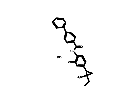 CCC1(N)CC1c1ccc(NC(=O)c2ccc(-c3ccccc3)cc2)c(F)c1.Cl